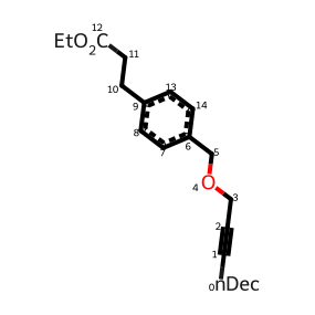 CCCCCCCCCCC#CCOCc1ccc(CCC(=O)OCC)cc1